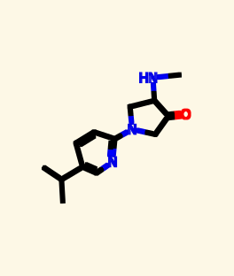 CNC1CN(c2ccc(C(C)C)cn2)CC1=O